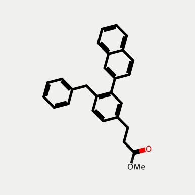 COC(=O)CCc1ccc(Cc2ccccc2)c(-c2ccc3ccccc3c2)c1